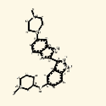 CN1CCN(c2ccc3nc(-c4n[nH]c5ccc(OC6CCCN(C)C6)cc45)[nH]c3c2)CC1